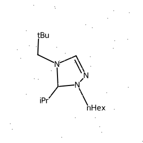 CCCCCCN1N=CN(CC(C)(C)C)C1C(C)C